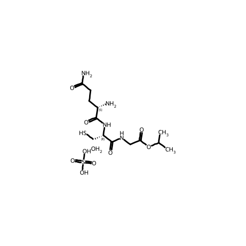 CC(C)OC(=O)CNC(=O)[C@H](CS)NC(=O)[C@@H](N)CCC(N)=O.O.O=S(=O)(O)O